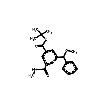 CNC(=O)c1cc(C(=O)OC(C)(C)C)cc(C(OC)c2ccccc2)n1